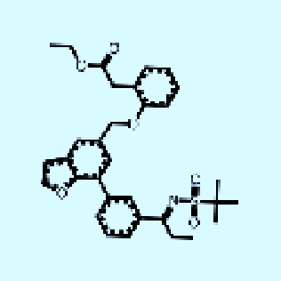 CCOC(=O)Cc1ccccc1OCc1cc(-c2cccc(C(CC)=NS(=O)(=O)C(C)(C)C)c2)c2occc2c1